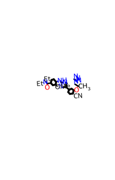 CCN(CC)C(=O)c1ccc(Nc2ncc(-c3ccc(C#N)c(OC(C)Cn4cnnn4)c3)cn2)c(OC)c1